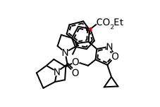 CCOC(=O)c1ccc2c(c1)CCN2C(=O)N1C2CCC1CC(OCc1c(-c3ccccc3C)noc1C1CC1)C2